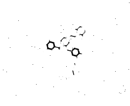 COCCOCOc1cc(C[C@@H]2CN(CCN3C(C)COCC3C)CCN2C(=O)c2cc(C(F)(F)F)cc(C(F)(F)F)c2)ccc1C